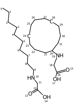 CCCCCCCCCCNCC(=O)O.O=C(O)CNC1CCCCCCCCCCC1